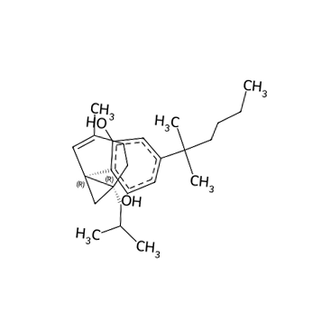 CCCCC(C)(C)c1cc(O)c([C@]23C=C(C)CC[C@@]2(CC(C)C)C3)c(O)c1